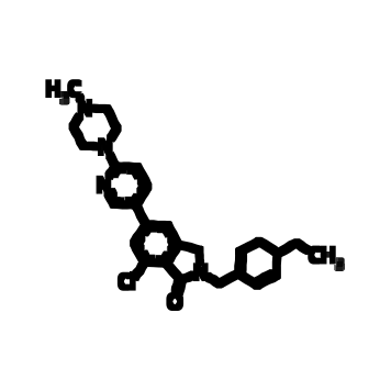 CCC1C=CC(CN2Cc3cc(-c4ccc(N5CCN(C)CC5)nc4)cc(Cl)c3C2=O)=CC1